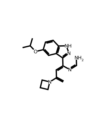 C=C(/C=C(\N=C/N)c1n[nH]c2ccc(OC(C)C)cc12)N1CCC1